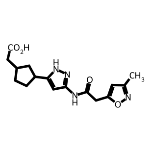 Cc1cc(CC(=O)Nc2cc(C3CCC(CC(=O)O)C3)[nH]n2)on1